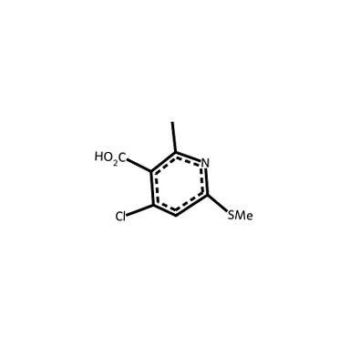 CSc1cc(Cl)c(C(=O)O)c(C)n1